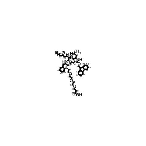 CC(C)CC(NC(=O)OCC1c2ccccc2-c2ccccc21)C(=O)NC(CCC(=O)C=[N+]=[N-])C(=O)NC(Cc1ccccc1)C(=O)NCCOCCOCCOCCC(=O)O